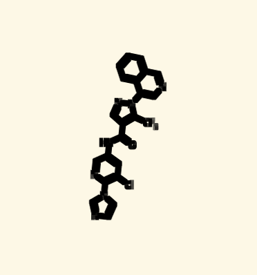 O=C(Nc1cnc(-n2ccnc2)c(Cl)c1)c1cnn(-c2cncc3ccccc23)c1C(F)(F)F